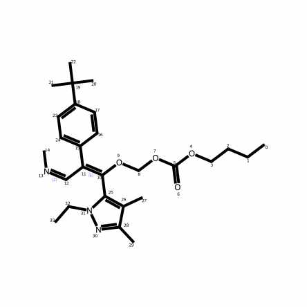 CCCCOC(=O)OCO/C(=C(/C=N\C)c1ccc(C(C)(C)C)cc1)c1c(C)c(C)nn1CC